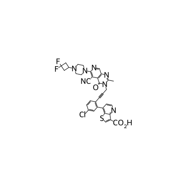 Cc1nc2cnc(N3CCN(C4CC(F)(F)C4)CC3)c(C#N)c2c(=O)n1CC#Cc1ccc(Cl)cc1-c1ccnc2c(C(=O)O)csc12